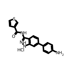 Cl.Nc1ccc(-c2ccc3c(NC(=O)c4ccsc4)n[nH]c3c2)cc1